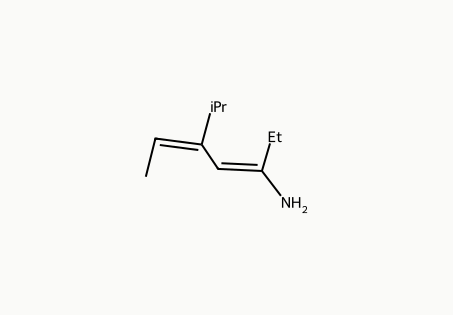 C/C=C(\C=C(\N)CC)C(C)C